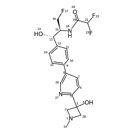 CN1CC(O)(c2ccc(-c3ccc([C@H](O)[C@@H](CF)NC(=O)C(F)F)cc3)cn2)C1